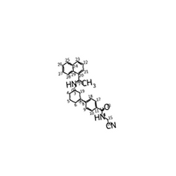 C[C@@H](N[C@H]1CCC[C@H](c2ccc(C(=O)NCC#N)cc2)C1)c1cccc2ccccc12